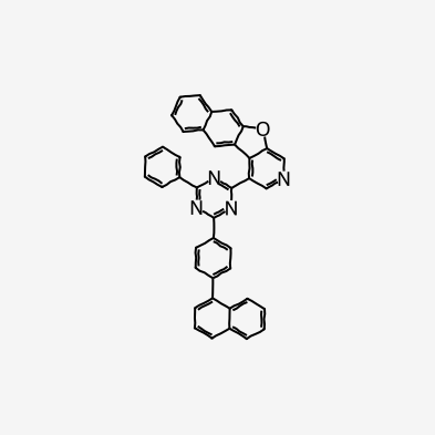 c1ccc(-c2nc(-c3ccc(-c4cccc5ccccc45)cc3)nc(-c3cncc4oc5cc6ccccc6cc5c34)n2)cc1